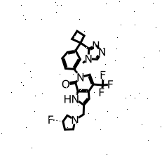 Cn1cnnc1C1(c2cccc(-n3cc(C(F)(F)F)c4cc(CN5CC[C@H](F)C5)[nH]c4c3=O)c2)CCC1